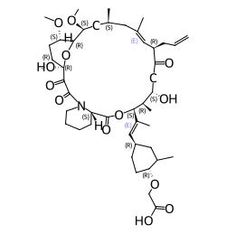 C=CC[C@@H]1/C=C(\C)C[C@H](C)C[C@H](OC)[C@H]2O[C@@](O)(C(=O)C(=O)N3CCCC[C@H]3C(=O)O[C@H](/C(C)=C/[C@@H]3CC[C@@H](OCC(=O)O)C(C)C3)[C@H](C)[C@@H](O)CC1=O)[C@H](C)C[C@@H]2OC